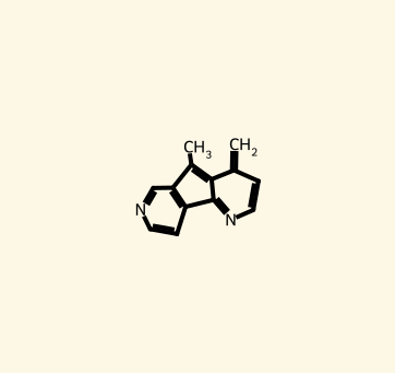 C=c1ccnc2c1=C(C)c1cnccc1-2